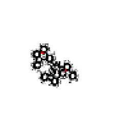 c1ccc(-c2cccc(-c3nc(-c4ccc(-c5ccccc5)c(C5c6ccccc6-c6ccccc65)c4)nc(-n4c5ccccc5c5cccc(-c6ccccc6)c54)n3)c2)cc1